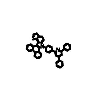 c1ccc(-c2cc(-c3ccccc3)nc(-c3ccc(-n4c5ccc6ccsc6c5c5c6ccccc6c6ccccc6c54)cc3)c2)cc1